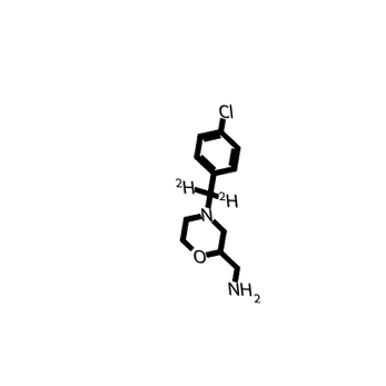 [2H]C([2H])(c1ccc(Cl)cc1)N1CCOC(CN)C1